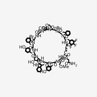 CCCC[C@H]1C(=O)N2CCOC[C@@H]2C(=O)N[C@@H](CC(=O)O)C(=O)N[C@@H](C(C)C)C(=O)N(C)[C@@H](Cc2ccccc2)C(=O)N[C@@H](Cc2ccc(O)cc2)C(=O)N2C[C@H](O)C[C@@H]2C(=O)N[C@@H](Cc2c[nH]c3ccccc23)C(=O)N[C@@H](Cc2ccc(O)cc2)C(=O)N[C@@H](CCOC)C(=O)N[C@H](C(=O)NCC(N)=O)CSCC(=O)N[C@@H](Cc2cc(F)c(F)c(F)c2)C(=O)N(C)[C@@H](Cc2ccccc2)C(=O)N1C